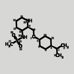 CC(C)[C@H]1CC[C@@H](OC[C@@H]2NCCC[C@@H]2NS(C)(=O)=O)CC1